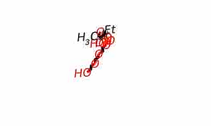 CC[C@H]1OC(C)[C@H](O)[C@@H]1OP(=O)(O)OCCOCCOCCO